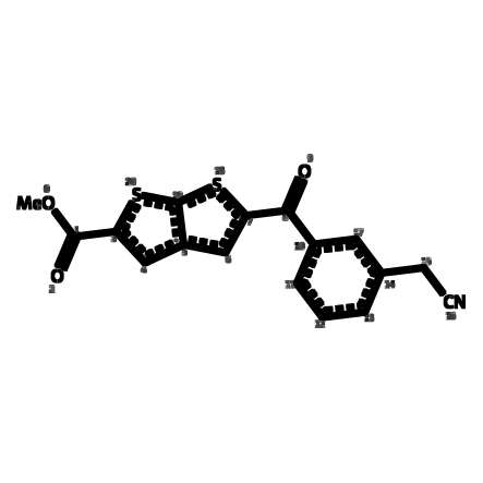 COC(=O)c1cc2cc(C(=O)c3cccc(CC#N)c3)sc2s1